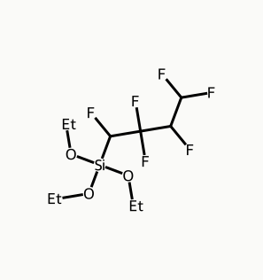 CCO[Si](OCC)(OCC)C(F)C(F)(F)C(F)C(F)F